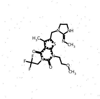 C/N=C1\NCCN1Cc1sc2c(c1C)c(=O)n(CC(F)(F)F)c(=O)n2CCOC